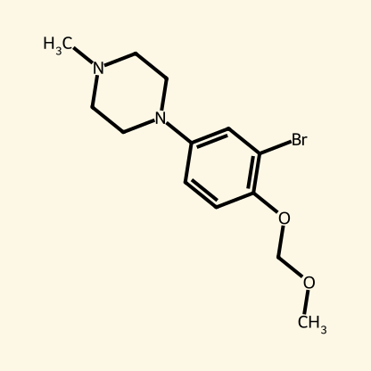 COCOc1ccc(N2CCN(C)CC2)cc1Br